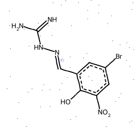 N=C(N)N/N=C/c1cc(Br)cc([N+](=O)[O-])c1O